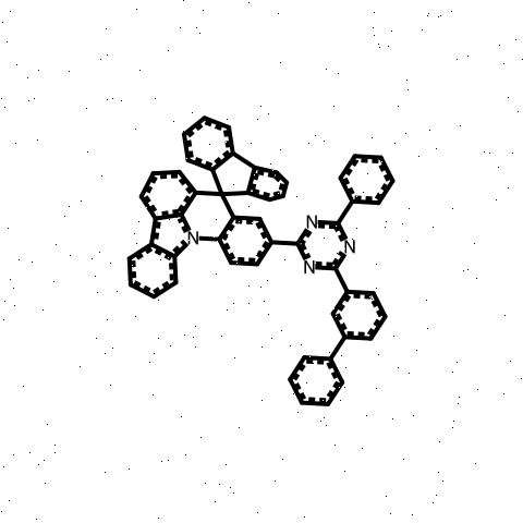 c1ccc(-c2cccc(-c3nc(-c4ccccc4)nc(-c4ccc5c(c4)C4(c6ccccc6-c6ccccc64)c4cccc6c7ccccc7n-5c46)n3)c2)cc1